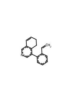 C=Cc1ccccc1-c1cncc2c1CCC=C2